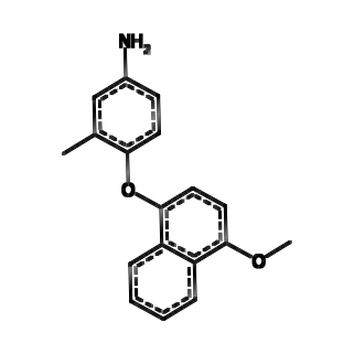 COc1ccc(Oc2ccc(N)cc2C)c2ccccc12